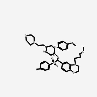 COCCCN1CCOc2ccc(C(O[C@H]3CN[C@@H](CCN4CCOCC4)C[C@@H]3c3ccc(OC)cc3)S(=O)(=O)c3ccc(C)cc3)cc21